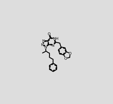 CC(CCCc1ccccc1)n1nnc2c(=O)[nH]c(Cc3ccc4c(c3)OCO4)nc21